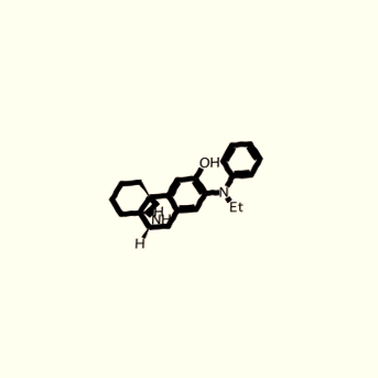 CCN(c1ccccc1)c1cc2c(cc1O)[C@@]13CCCC[C@H]1[C@@H](C2)NCC3